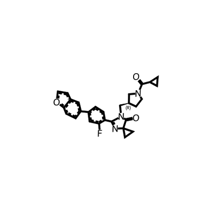 O=C(C1CC1)N1CC[C@@H](CN2C(=O)C3(CC3)N=C2c2ccc(-c3ccc4occc4c3)cc2F)C1